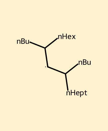 CCCCCCCC([CH]C(CCCC)CCCCCC)CCCC